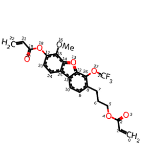 C=CC(=O)OCCCc1ccc2c(oc3c(OC)c(OC(=O)C=C)ccc32)c1OC(F)(F)F